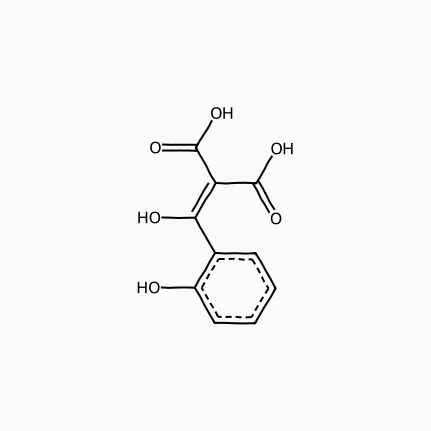 O=C(O)C(C(=O)O)=C(O)c1ccccc1O